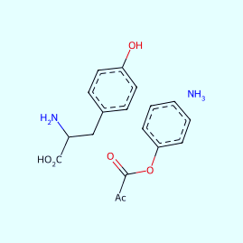 CC(=O)C(=O)Oc1ccccc1.N.NC(Cc1ccc(O)cc1)C(=O)O